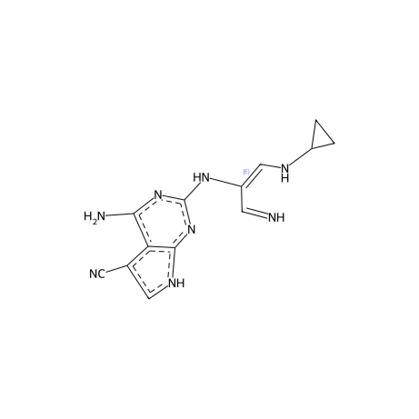 N#Cc1c[nH]c2nc(N/C(C=N)=C/NC3CC3)nc(N)c12